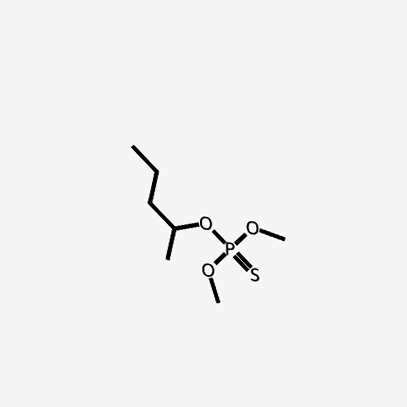 CCCC(C)OP(=S)(OC)OC